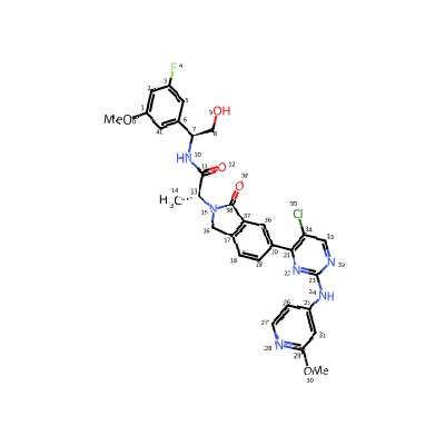 COc1cc(F)cc([C@@H](CO)NC(=O)[C@@H](C)N2Cc3ccc(-c4nc(Nc5ccnc(OC)c5)ncc4Cl)cc3C2=O)c1